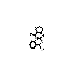 CCC1Sc2nc3c(c(=O)n2-c2ccccc21)SCC3